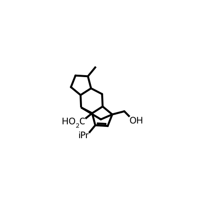 CC(C)C1=CC2(CO)CC3C4CCC(C)C4CC2C13C(=O)O